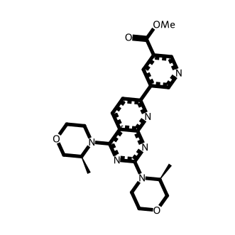 COC(=O)c1cncc(-c2ccc3c(N4CCOC[C@@H]4C)nc(N4CCOC[C@@H]4C)nc3n2)c1